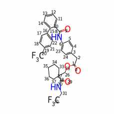 O=C(Cc1ccc(NC(=O)c2ccccc2-c2ccc(C(F)(F)F)cc2)cc1)OCC1(C(=O)NCC(F)(F)F)CCCCC1